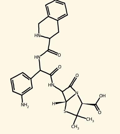 CC1(C)S[C@@H]2C(NC(=O)C(NC(=O)C3Cc4ccccc4CN3)c3cccc(N)c3)C(=O)N2[C@H]1C(=O)O